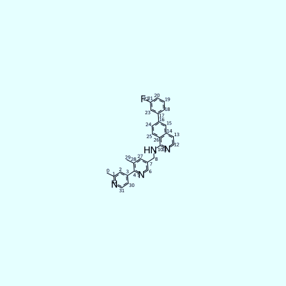 Cc1cc(-c2ncc(CNc3nccc4cc(-c5cccc(F)c5)ccc34)cc2C)ccn1